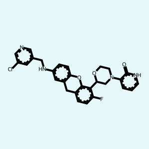 O=c1[nH]cccc1N1CCOC(c2c(F)ccc3c2Oc2ccc(NCc4cncc(Cl)c4)cc2C3)C1